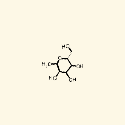 CC1O[C@H](CO)C(O)C(O)[C@H]1O